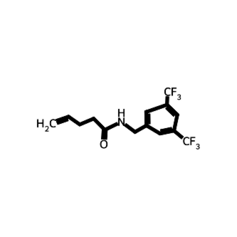 C=CCCC(=O)NCc1cc(C(F)(F)F)cc(C(F)(F)F)c1